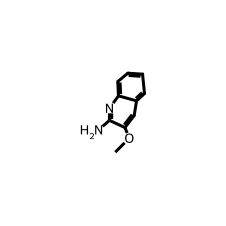 COc1cc2ccccc2nc1N